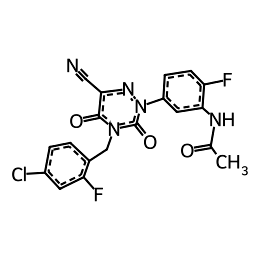 CC(=O)Nc1cc(-n2nc(C#N)c(=O)n(Cc3ccc(Cl)cc3F)c2=O)ccc1F